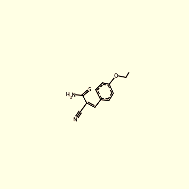 CCOc1ccc(/C=C(/C#N)C(N)=S)cc1